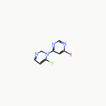 FC1=CC=NCN1c1cc(I)ncn1